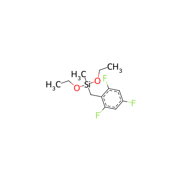 CCO[Si](C)(Cc1c(F)cc(F)cc1F)OCC